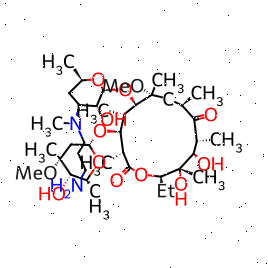 CC[C@H]1OC(=O)[C@H](C)[C@@H](O[C@H]2C[C@@](C)(OC)[C@@H](O)[C@H](C)O2)[C@H](C)[C@@H](O[C@@H]2O[C@H](C)C[C@H](N(C)CCCN)[C@H]2O)[C@](C)(OC)C[C@@H](C)C(=O)[C@H](C)[C@@H](O)[C@]1(C)O